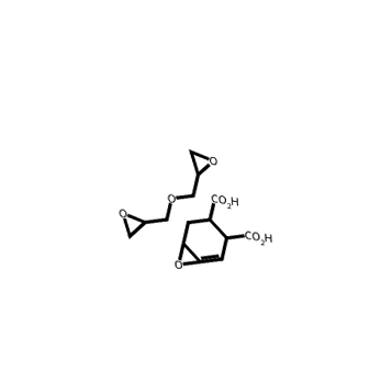 C(OCC1CO1)C1CO1.O=C(O)C1C=C2OC2CC1C(=O)O